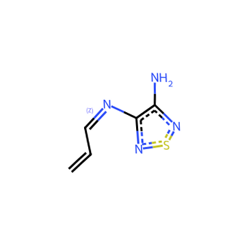 C=C/C=N\c1nsnc1N